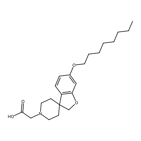 CCCCCCCCOc1ccc2c(c1)OCC21CCN(CC(=O)O)CC1